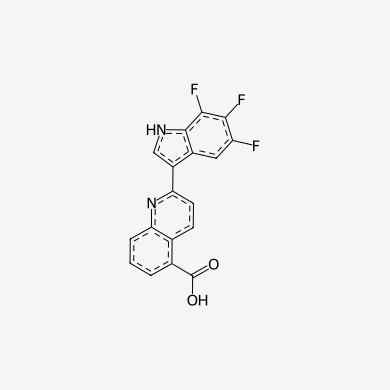 O=C(O)c1cccc2nc(-c3c[nH]c4c(F)c(F)c(F)cc34)ccc12